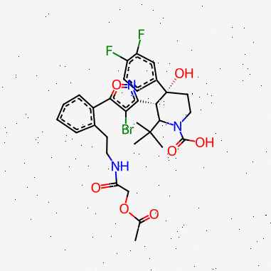 CC(=O)OCC(=O)NCCc1ccccc1-c1onc([C@H]2C(C(C)(C)C)N(C(=O)O)CC[C@]2(O)c2ccc(F)c(F)c2)c1Br